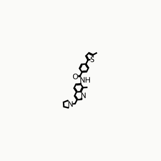 Cc1ccc(-c2ccc(C(=O)Nc3ccc4cc(CN5CCCC5)cnc4c3C)cc2)s1